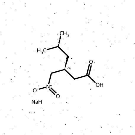 CC(C)C[C@@H](CC(=O)O)C[N+](=O)[O-].[NaH]